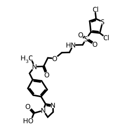 CN(Cc1ccc(C2=NCCN2C(=O)O)cc1)C(=O)COCCNCS(=O)(=O)c1cc(Cl)sc1Cl